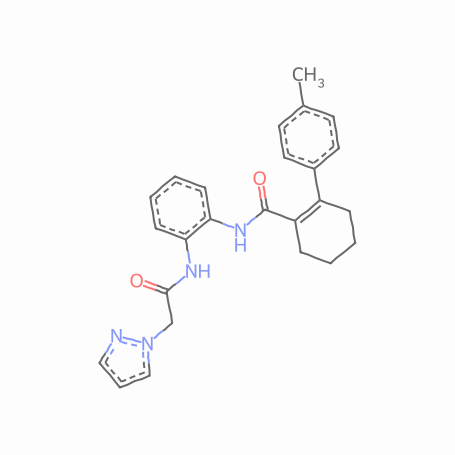 Cc1ccc(C2=C(C(=O)Nc3ccccc3NC(=O)Cn3cccn3)CCCC2)cc1